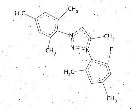 Cc1cc(C)c(-n2cc(C)[n+](-c3c(C)cc(C)cc3F)n2)c(C)c1